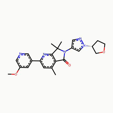 COc1cncc(-c2cc(C)c3c(n2)C(C)(C)N(c2cnn([C@@H]4CCOC4)c2)C3=O)c1